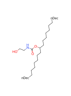 CCCCCCCCCCCCCCCCCC(CCCCCCCCCCCCCCCCC)OC(=O)NCCO